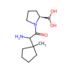 CC1(C(N)C(=O)N2CCC[C@H]2B(O)O)CCCC1